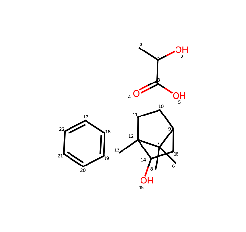 CC(O)C(=O)O.CC1(C)C2CCC1(C)C(O)C2.c1ccccc1